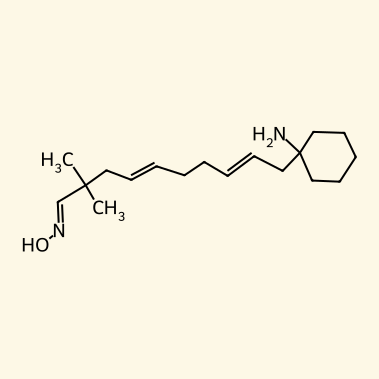 CC(C)(C=NO)CC=CCCC=CCC1(N)CCCCC1